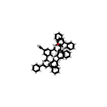 N#Cc1cc(-c2nc(-c3ccccc3)cc(-c3ccccc3)n2)c(-n2c3ccccc3c3ccc(-n4c5ccccc5c5ccccc54)cc32)c(-c2nc(-c3ccccc3)cc(-c3ccccc3)n2)c1